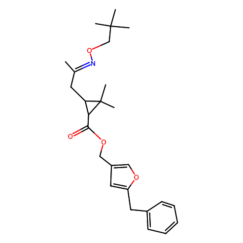 CC(CC1C(C(=O)OCc2coc(Cc3ccccc3)c2)C1(C)C)=NOCC(C)(C)C